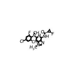 Cc1cc(Cl)cc(F)c1N(C)c1cc2c(ncn2C)c(NC(=O)[C@H]2C[C@H]2F)n1